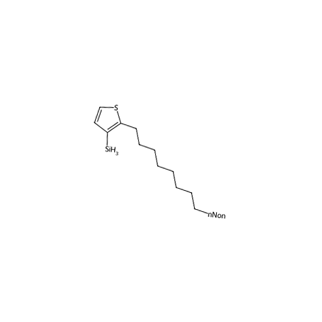 CCCCCCCCCCCCCCCCCc1sccc1[SiH3]